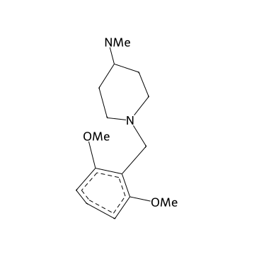 CNC1CCN(Cc2c(OC)cccc2OC)CC1